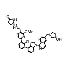 COc1nc(-c2cccc(-c3cccc4c3CCN4c3nccc4cc(CN5CC[C@@H](O)C5)cnc34)c2Cl)cnc1CNC[C@@H]1CCC(=O)N1